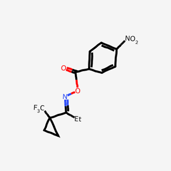 CC/C(=N\OC(=O)c1ccc([N+](=O)[O-])cc1)C1(C(F)(F)F)CC1